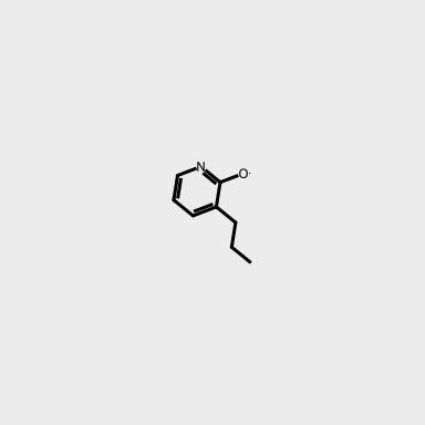 CCCc1cccnc1[O]